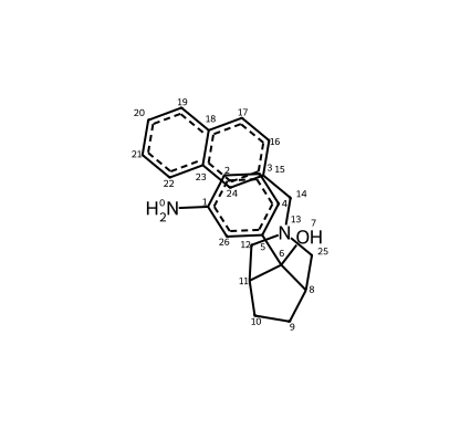 Nc1cccc(C2(O)C3CCC2CN(Cc2ccc4ccccc4c2)C3)c1